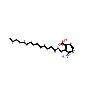 CCCCCCCCCCCCCCCCc1c(C(=O)O)ccc(Cl)c1N